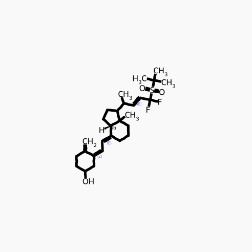 C=C1CCC(O)C/C1=C/C=C1\CCCC2(C)C(C(C)/C=C/C(F)(F)S(=O)(=O)C(C)(C)C)CC[C@@H]12